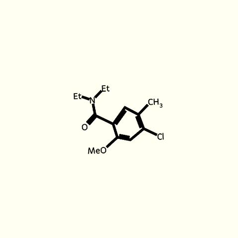 CCN(CC)C(=O)c1cc(C)c(Cl)cc1OC